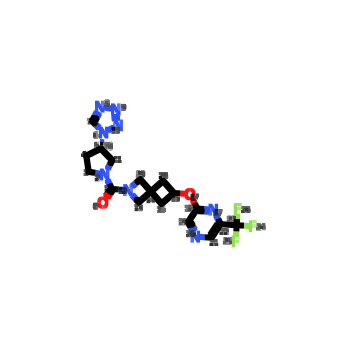 O=C(N1CC[C@H](n2cnnn2)C1)N1CC2(CC(Oc3cncc(C(F)(F)F)n3)C2)C1